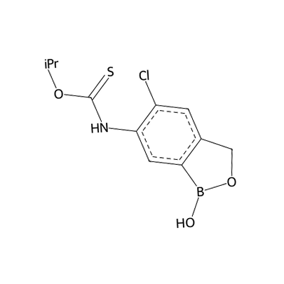 CC(C)OC(=S)Nc1cc2c(cc1Cl)COB2O